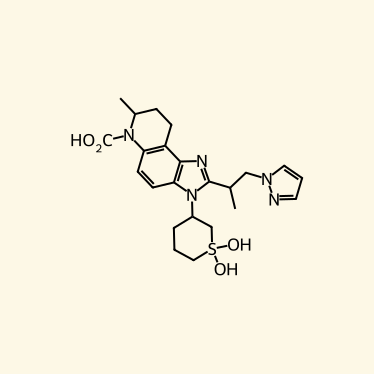 CC(Cn1cccn1)c1nc2c3c(ccc2n1C1CCCS(O)(O)C1)N(C(=O)O)C(C)CC3